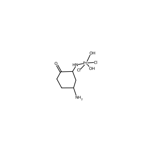 NC1CCC(=O)C([NH][Pt]([OH])([OH])([Cl])[Cl])C1